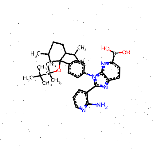 CC1CCC(C(C)C)C(O[Si](C)(C)C(C)(C)C)(c2ccc(-n3c(-c4cccnc4N)nc4ccc(B(O)O)nc43)cc2)C1